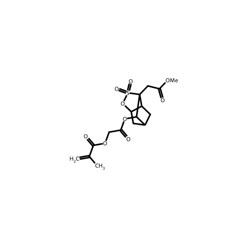 C=C(C)C(=O)OCC(=O)OC1C2CC3OS(=O)(=O)C1(CC(=O)OC)C3C2